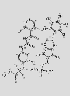 COP(=S)(OC)SCN1C(=O)c2ccccc2C1=O.O=C(NC(=O)c1c(F)cccc1F)Nc1ccc(OC(F)(F)C(F)OC(F)(F)F)c(Cl)c1.Oc1c(Cl)c(Cl)c(Cl)c(Cl)c1Cl